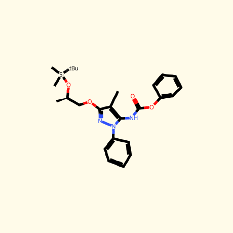 Cc1c(OC[C@@H](C)O[Si](C)(C)C(C)(C)C)nn(-c2ccccc2)c1NC(=O)Oc1ccccc1